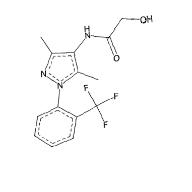 Cc1nn(-c2ccccc2C(F)(F)F)c(C)c1NC(=O)CO